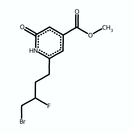 COC(=O)c1cc(CCC(F)CBr)[nH]c(=O)c1